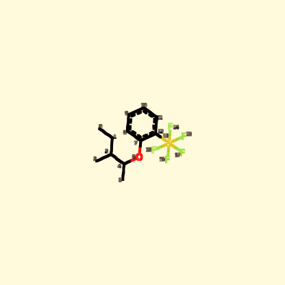 CCC(C)C(C)Oc1ccccc1S(F)(F)(F)(F)F